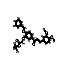 COc1ccc(C=CC(=O)c2ccc(OCc3ccccc3)c(OCC(=O)OC(C)(C)C)c2)cc1OC